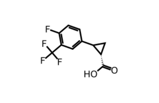 O=C(O)[C@H]1CC1c1ccc(F)c(C(F)(F)F)c1